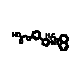 CC(N[C@H]1CC[C@@H](c2cccc(OCC(=O)O)c2)C1)C1=C2C=CC=CC2CC=C1